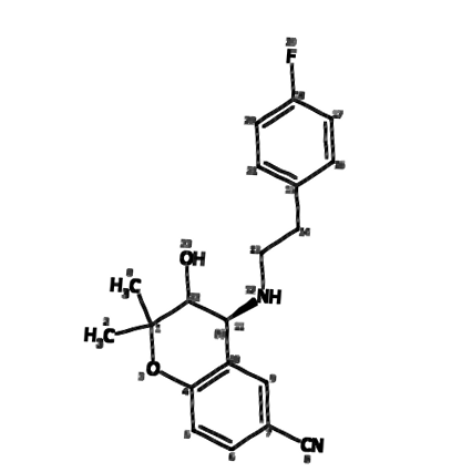 CC1(C)Oc2ccc(C#N)cc2[C@H](NCCc2ccc(F)cc2)C1O